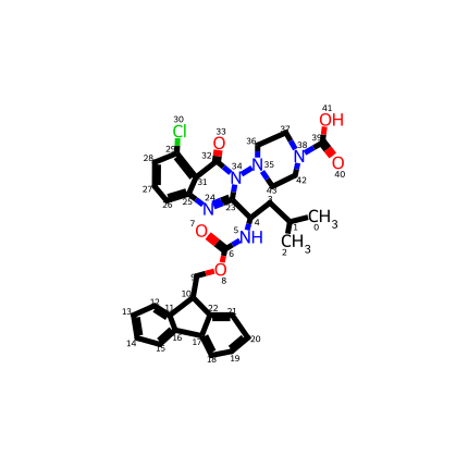 CC(C)CC(NC(=O)OCC1c2ccccc2-c2ccccc21)c1nc2cccc(Cl)c2c(=O)n1N1CCN(C(=O)O)CC1